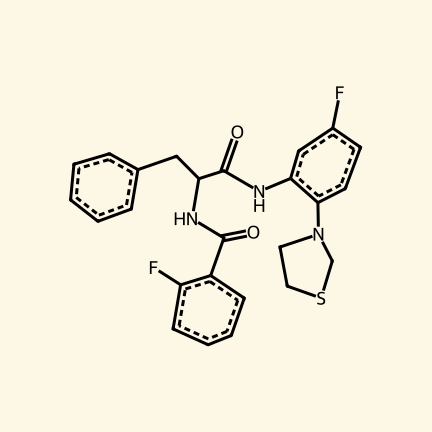 O=C(NC(Cc1ccccc1)C(=O)Nc1cc(F)ccc1N1CCSC1)c1ccccc1F